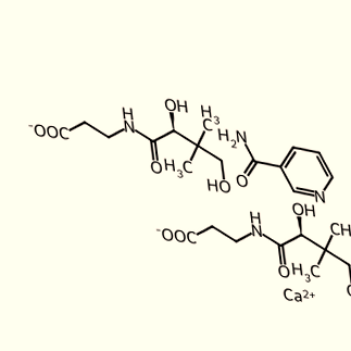 CC(C)(CO)[C@H](O)C(=O)NCCC(=O)[O-].CC(C)(CO)[C@H](O)C(=O)NCCC(=O)[O-].NC(=O)c1cccnc1.[Ca+2]